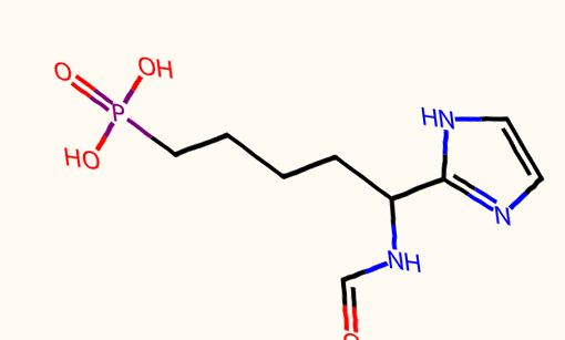 O=CNC(CCCCP(=O)(O)O)c1ncc[nH]1